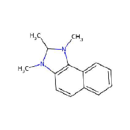 CC1N(C)c2ccc3ccccc3c2N1C